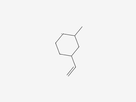 C=CC1CC[CH]C(C)C1